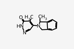 Cc1c(N2Cc3ccccc3C2C)cn[nH]c1=O